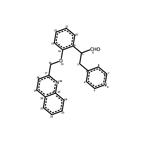 O=CC(Cc1ccncc1)c1ccccc1OCc1ccc2ccccc2n1